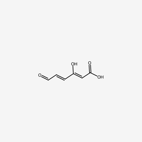 O=CC=CC(O)=CC(=O)O